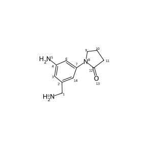 NCc1cc(N)cc(N2CCCC2=O)c1